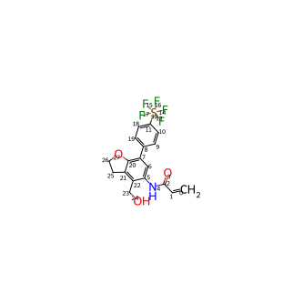 C=CC(=O)Nc1cc(-c2ccc(S(F)(F)(F)(F)F)cc2)c2c(c1CO)CCO2